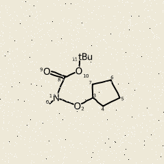 CN(OC1CCCC1)C(=O)OC(C)(C)C